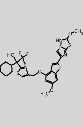 COc1cc(OCc2csc(C(O)(C3CCCCC3)C(F)(F)F)n2)c2cc(-c3cn4c(n3)SC(OC)N4)oc2c1